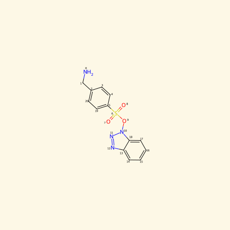 NCc1ccc(S(=O)(=O)On2nnc3ccccc32)cc1